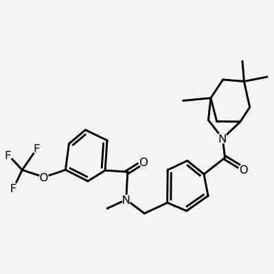 CN(Cc1ccc(C(=O)N2CC3(C)CC2CC(C)(C)C3)cc1)C(=O)c1cccc(OC(F)(F)F)c1